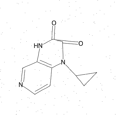 O=c1[nH]c2cnccc2n(C2CC2)c1=O